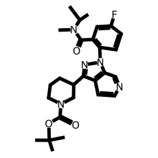 CC(C)N(C)C(=O)c1cc(F)ccc1-n1nc(C2CCCN(C(=O)OC(C)(C)C)C2)c2ccncc21